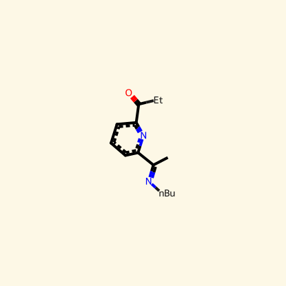 CCCC/N=C(\C)c1cccc(C(=O)CC)n1